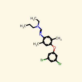 CCCN(C=Nc1cc(C)c(Oc2cc(Br)cc(Br)c2)cc1C)CC